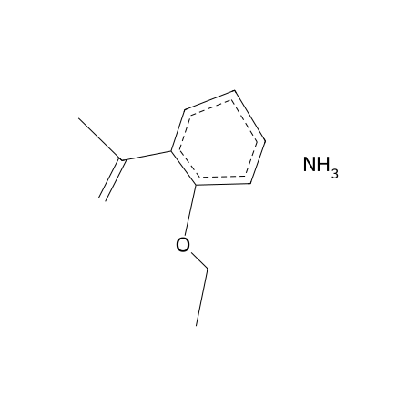 C=C(C)c1ccccc1OCC.N